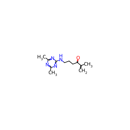 C=C(C)C(=O)CCCNc1nc(C)nc(C)n1